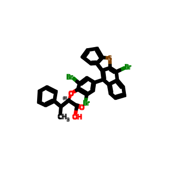 CC(c1ccccc1)[C@@H](Oc1c(Br)cc(-c2c3ccccc3c(Br)c3sc4ccccc4c23)cc1Br)C(=O)O